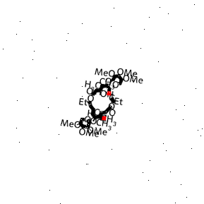 CC[C@@H]1C[C@@H]2C[C@H](O[C@@H]3OC[C@@H](OC)[C@H](OC)[C@H]3OC)C(C)(C)[C@H](CC(=O)O[C@H](CC)C[C@@H]3C[C@H](O[C@@H]4OC[C@@H](OC)[C@H](OC)[C@H]4OC)C(C)(C)[C@H](CC(=O)O1)O3)O2